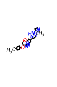 Cc1ccc(OC2CCOc3cc(-c4ccnc(Nc5ccnn5C)n4)cc4nnc2n34)cc1